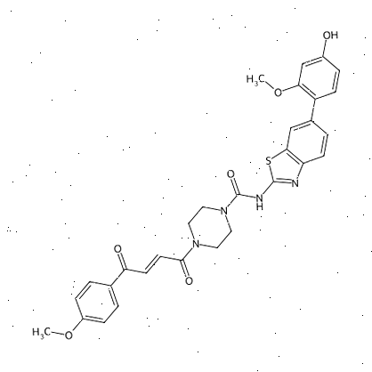 COc1ccc(C(=O)/C=C/C(=O)N2CCN(C(=O)Nc3nc4ccc(-c5ccc(O)cc5OC)cc4s3)CC2)cc1